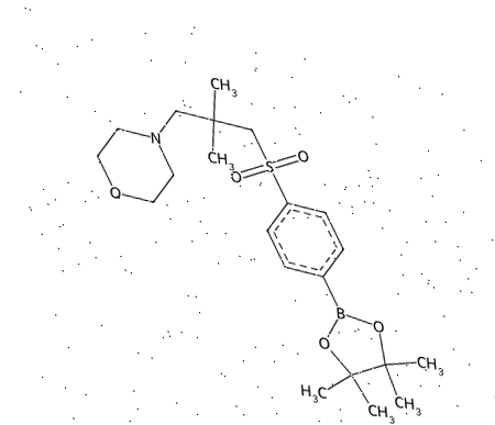 CC(C)(CN1CCOCC1)CS(=O)(=O)c1ccc(B2OC(C)(C)C(C)(C)O2)cc1